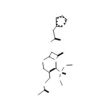 COP(=O)(OC)C1=C(COC(C)=O)CS[C@H]2[C@H](NC(=O)Cc3cccs3)C(=O)N12